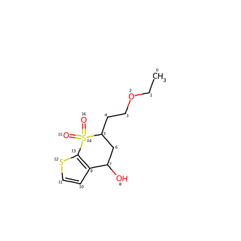 CCOCCC1CC(O)c2ccsc2S1(=O)=O